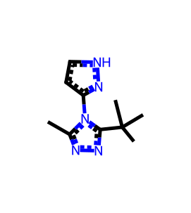 Cc1nnc(C(C)(C)C)n1-c1cc[nH]n1